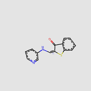 O=C1/C(=C\Nc2cccnc2)Sc2ccccc21